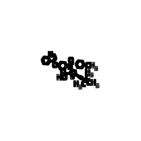 CC(C)(C)C#Cc1cc(N(C(=O)[C@H]2CC[C@H](C)CC2)[C@H]2CC[C@H](Oc3ccnc4ccccc34)CC2)c(C(=O)O)s1